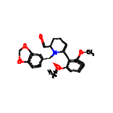 COc1cccc(OC)c1C1CCCC(C=O)N1Cc1ccc2c(c1)OCO2